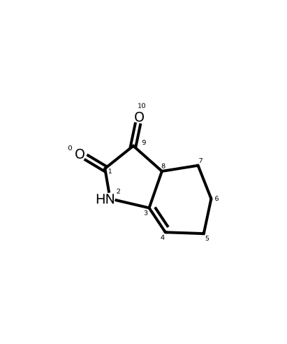 O=C1NC2=CCCCC2C1=O